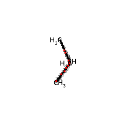 CCCCCCCCCCCCCCCCCP[PH3]CCCCCCCCCCCCCCCCC